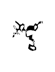 CSNC(=O)C1=C(C)CSC(N(CCCOc2ccccc2)c2ccc(C#N)cc2)=N1